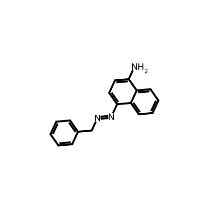 Nc1ccc(/N=N/Cc2ccccc2)c2ccccc12